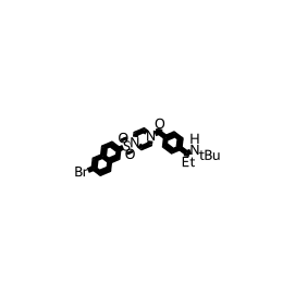 CCC(NC(C)(C)C)c1ccc(C(=O)N2CCN(S(=O)(=O)c3ccc4cc(Br)ccc4c3)CC2)cc1